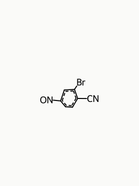 N#Cc1ccc(N=O)cc1Br